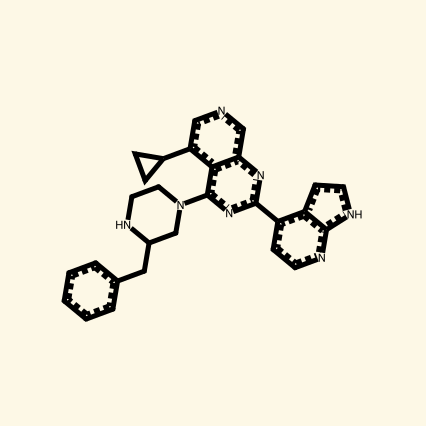 c1ccc(CC2CN(c3nc(-c4ccnc5[nH]ccc45)nc4cncc(C5CC5)c34)CCN2)cc1